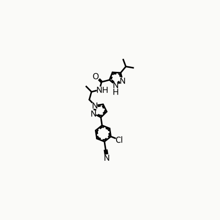 CC(Cn1ccc(-c2ccc(C#N)c(Cl)c2)n1)NC(=O)c1cc(C(C)C)n[nH]1